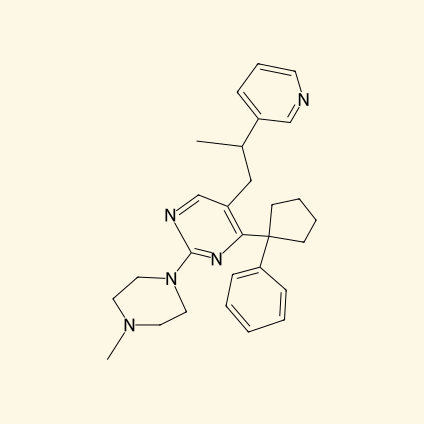 CC(Cc1cnc(N2CCN(C)CC2)nc1C1(c2ccccc2)CCCC1)c1cccnc1